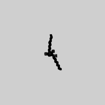 CCCCCCCCCN1C(=O)CC(NCCCCCCCC)C1=O